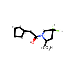 O=C(O)C1CC(F)(F)CN1C(=O)CC1CCCC1